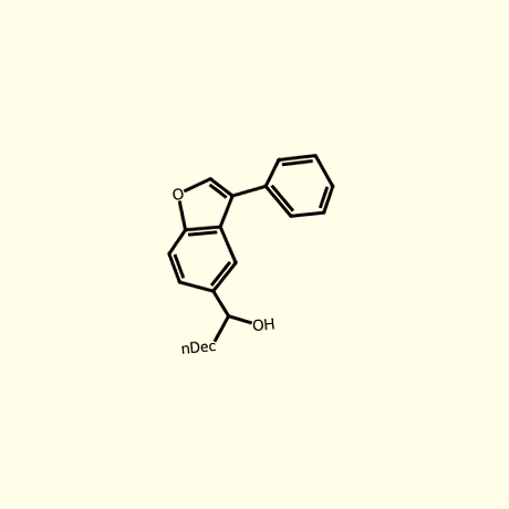 CCCCCCCCCCC(O)c1ccc2occ(-c3ccccc3)c2c1